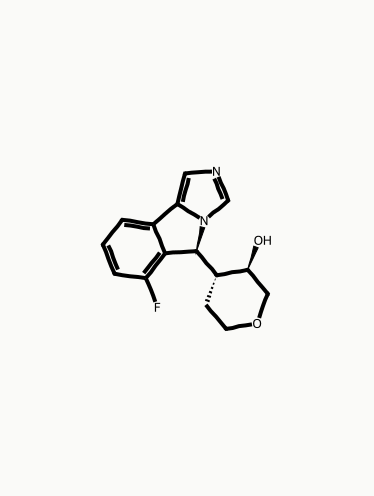 O[C@H]1COCC[C@@H]1[C@H]1c2c(F)cccc2-c2cncn21